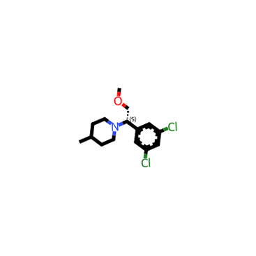 COC[C@H](c1cc(Cl)cc(Cl)c1)N1CCC(C)CC1